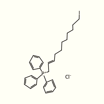 ICCCCCCCCC=CC[P+](c1ccccc1)(c1ccccc1)c1ccccc1.[Cl-]